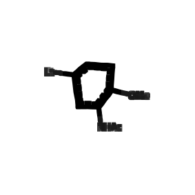 CCc1ccc(OC)c(NC(C)=O)c1